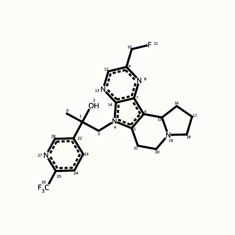 CC(O)(Cn1c2c(c3nc(CF)cnc31)C1CCCN1CC2)c1ccc(C(F)(F)F)nc1